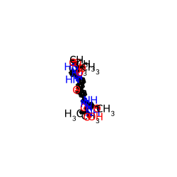 CC[C@H](C)[C@H](NC(=O)O)C(=O)N1C[C@@H](COC)C[C@H]1c1ncc(-c2ccc3c(c2)COc2cc4c(ccc5nc([C@@H]6CC[C@H](C)N6C(=O)[C@@H](NC(=O)OC)[C@@H](C)OC)[nH]c54)cc2-3)[nH]1